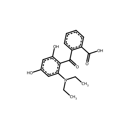 CCN(CC)c1cc(O)cc(O)c1C(=O)c1ccccc1C(=O)O